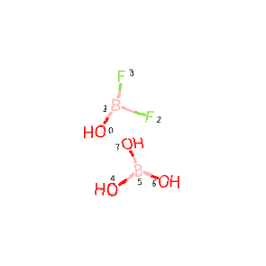 OB(F)F.OB(O)O